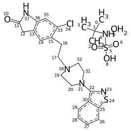 CC(C)(C)NS(=O)(=O)O.O.O=C1Cc2cc(CCN3CCN(c4nsc5ccccc45)CC3)c(Cl)cc2N1